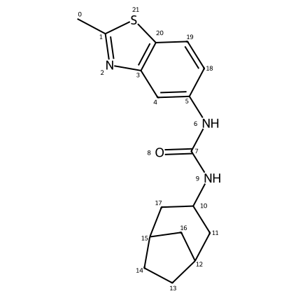 Cc1nc2cc(NC(=O)NC3CC4CCC(C4)C3)ccc2s1